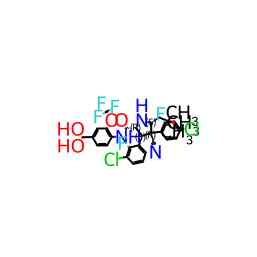 CC(C)(C)C[C@@H]1N[C@@H](C(=O)Nc2ccc(C(O)O)cc2OC(F)(F)F)[C@H](c2cccc(Cl)c2F)[C@@]1(C#N)c1ccc(Cl)cc1F